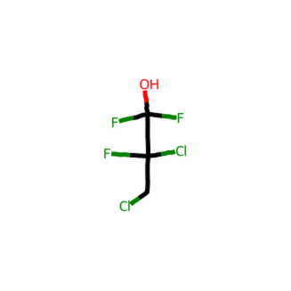 OC(F)(F)C(F)(Cl)CCl